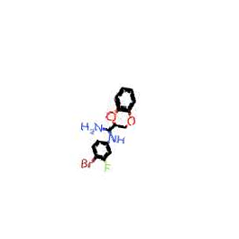 NC(Nc1ccc(Br)c(F)c1)C1COc2ccccc2O1